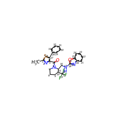 Cc1nc(C(=O)N2CCCC(C(F)(F)F)C2CNc2nc3ccccc3o2)c(-c2ccccc2)s1